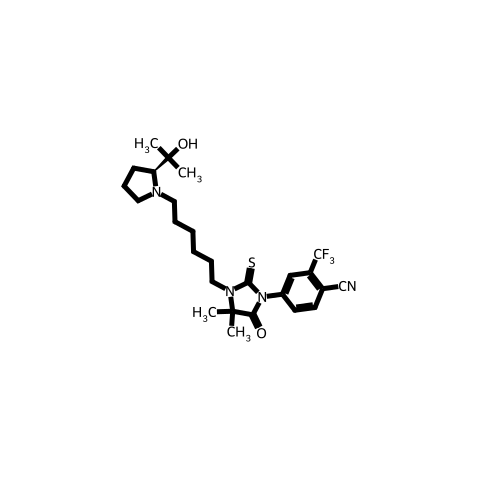 CC(C)(O)[C@@H]1CCCN1CCCCCCN1C(=S)N(c2ccc(C#N)c(C(F)(F)F)c2)C(=O)C1(C)C